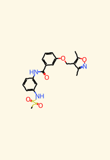 Cc1noc(C)c1COc1cccc(C(=O)Nc2cccc(NS(C)(=O)=O)c2)c1